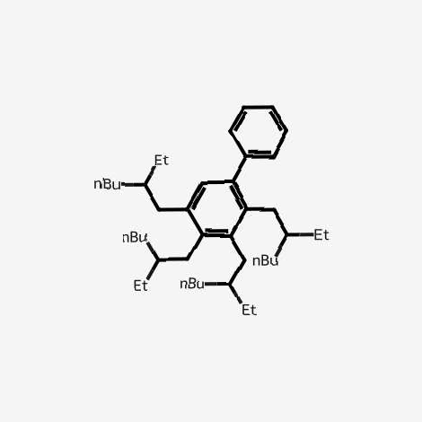 CCCCC(CC)Cc1cc(-c2ccccc2)c(CC(CC)CCCC)c(CC(CC)CCCC)c1CC(CC)CCCC